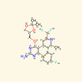 Cc1cc(-c2c(OC[C@H]3COC(C)(C)O3)nc(N)nc2-c2ccc(F)cc2)cc(C(F)F)n1